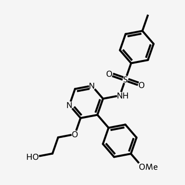 COc1ccc(-c2c(NS(=O)(=O)c3ccc(C)cc3)ncnc2OCCO)cc1